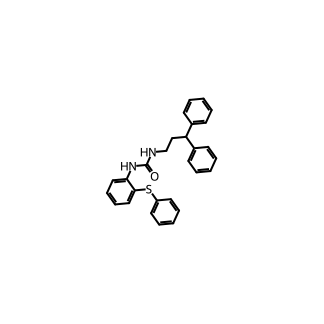 O=C(NCCC(c1ccccc1)c1ccccc1)Nc1ccccc1Sc1ccccc1